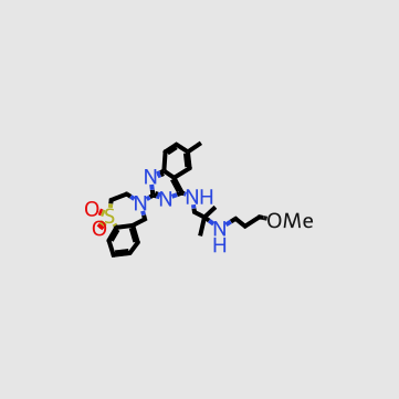 COCCCNC(C)(C)CNc1nc(N2CCS(=O)(=O)c3ccccc3C2)nc2ccc(C)cc12